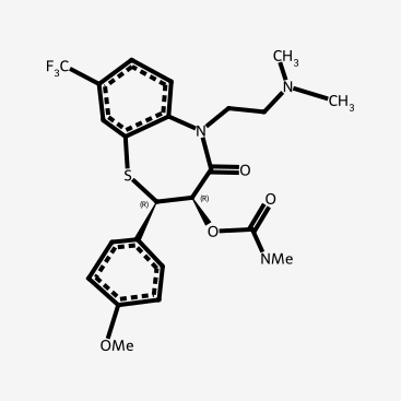 CNC(=O)O[C@@H]1C(=O)N(CCN(C)C)c2ccc(C(F)(F)F)cc2S[C@@H]1c1ccc(OC)cc1